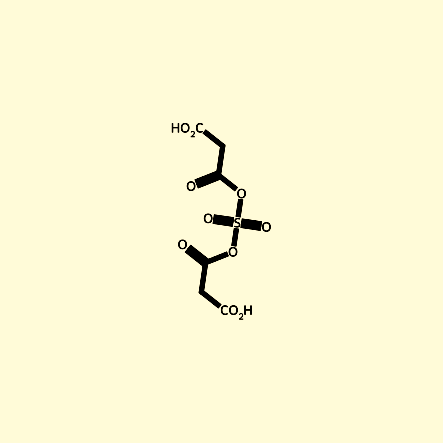 O=C(O)CC(=O)OS(=O)(=O)OC(=O)CC(=O)O